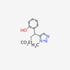 CCOC(=O)CC(c1ccccc1O)c1cnnn1C